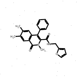 Cc1cc2c(-c3ccccc3)c(C(=O)NCc3ccco3)n(C)c(=O)c2cc1C